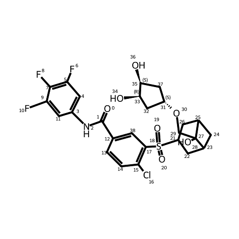 O=C(Nc1cc(F)c(F)c(F)c1)c1ccc(Cl)c(S(=O)(=O)C2CC3CC(C2)C3(O)CO[C@@H]2C[C@@H](O)[C@@H](O)C2)c1